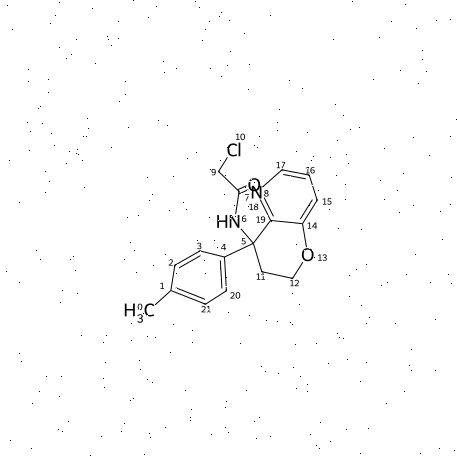 Cc1ccc(C2(NC(=O)CCl)CCOc3cccnc32)cc1